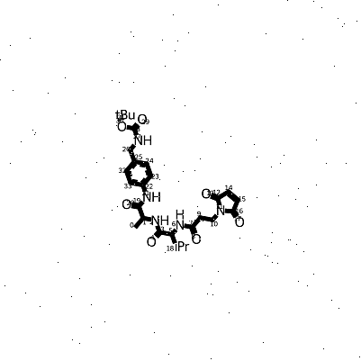 CC(NC(=O)C(NC(=O)CCN1C(=O)C=CC1=O)C(C)C)C(=O)Nc1ccc(CNC(=O)OC(C)(C)C)cc1